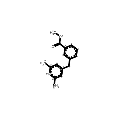 COC(=O)c1cccc(Cc2cc(N)nc(N)c2)c1